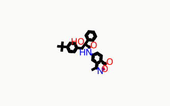 Cc1noc(=O)c2ccc(NC(=O)C(O)(Cc3ccc(C(C)(C)C)cc3)c3ccccc3)cc12